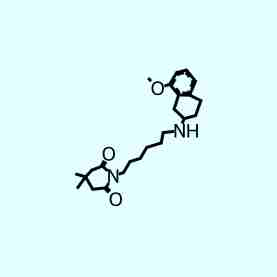 COc1cccc2c1CC(NCCCCCCN1C(=O)CC(C)(C)CC1=O)CC2